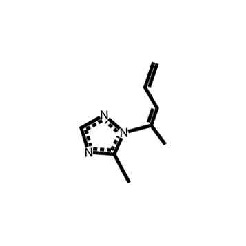 C=C/C=C(/C)n1ncnc1C